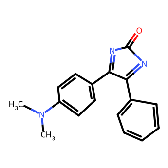 CN(C)c1ccc(C2=NC(=O)N=C2c2ccccc2)cc1